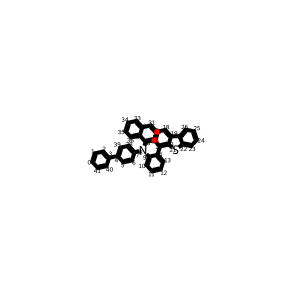 c1ccc(-c2ccc(N(c3ccccc3-c3cccc4c3sc3ccccc34)c3cccc4ccccc34)cc2)cc1